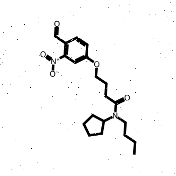 CCCCN(C(=O)CCCOc1ccc(C=O)c([N+](=O)[O-])c1)C1CCCC1